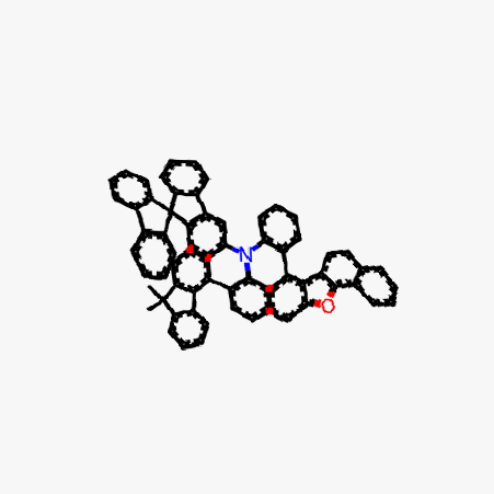 CC1(C)c2ccccc2-c2c(-c3ccccc3N(c3ccc4c(c3)-c3ccccc3C43c4ccccc4-c4ccccc43)c3ccccc3-c3cccc4oc5c6ccccc6ccc5c34)cccc21